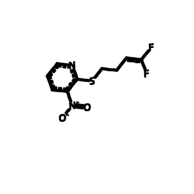 O=[N+]([O-])c1cccnc1SCCC=C(F)F